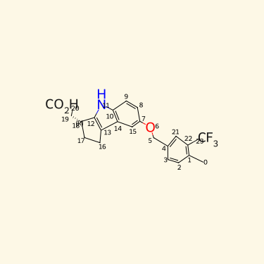 Cc1ccc(COc2ccc3[nH]c4c(c3c2)CC[C@@H]4CC(=O)O)cc1C(F)(F)F